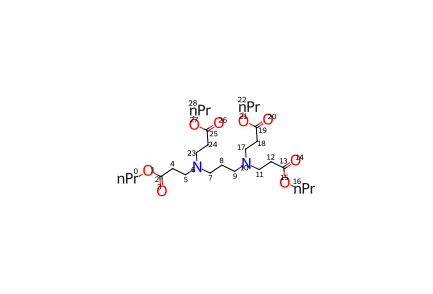 CCCOC(=O)CCN(CCCN(CCC(=O)OCCC)CCC(=O)OCCC)CCC(=O)OCCC